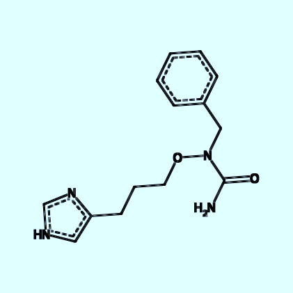 NC(=O)N(Cc1ccccc1)OCCCc1c[nH]cn1